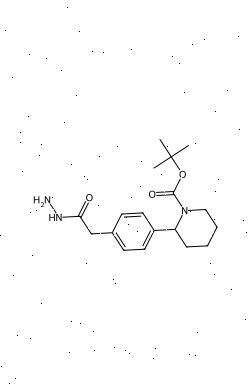 CC(C)(C)OC(=O)N1CCCCC1c1ccc(CC(=O)NN)cc1